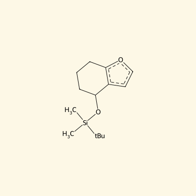 CC(C)(C)[Si](C)(C)OC1CCCc2occc21